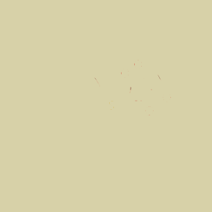 CCCCCCCCCCSC(CC=C(C)C)c1cc(OC)c2c(OC)ccc(OC)c2c1OC